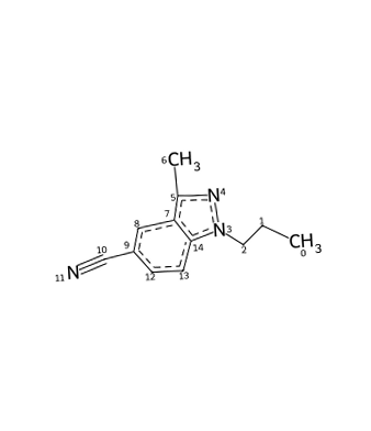 CCCn1nc(C)c2cc(C#N)ccc21